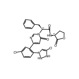 O=C1OCC[C@@H]1NC(=O)[C@H](Cc1ccccc1)n1cnc(-c2cc(Cl)ccc2N2C=C(Cl)NN2)cc1=O